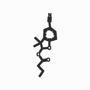 CCCC(=O)OC1Oc2ccc(C#N)cc2C1(C)C